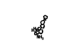 CC1C(C(N)=O)=CC=CC1(C)c1ccc2c(c1)CCC(N1CCCC1)C2